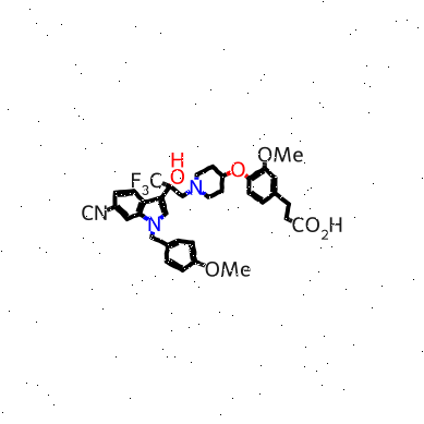 [C-]#[N+]c1ccc2c(C(O)(CN3CCC(Oc4ccc(CCC(=O)O)cc4OC)CC3)C(F)(F)F)cn(Cc3ccc(OC)cc3)c2c1